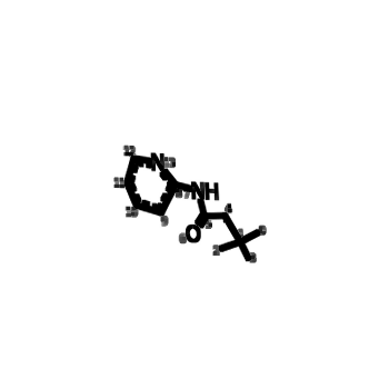 CC(C)(C)[CH]C(=O)Nc1ccccn1